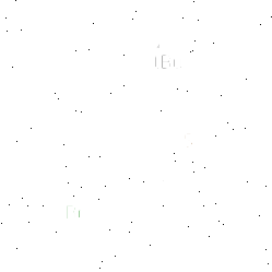 Cc1sc(C(C)(C)C)cc1Br